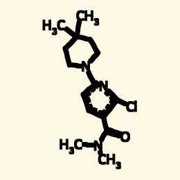 CN(C)C(=O)c1ccc(N2CCC(C)(C)CC2)nc1Cl